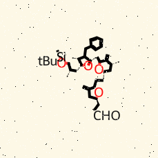 C=C1C[C@H](CCC=O)OC1CC[C@H]1C[C@@H](C)C(=C)C(C[C@@H]2O[C@H](C[C@H](C)CO[Si](C)(C)C(C)(C)C)[C@H](C)C2Cc2ccccc2)O1